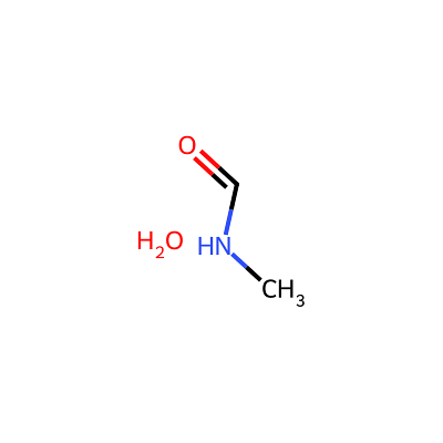 CNC=O.O